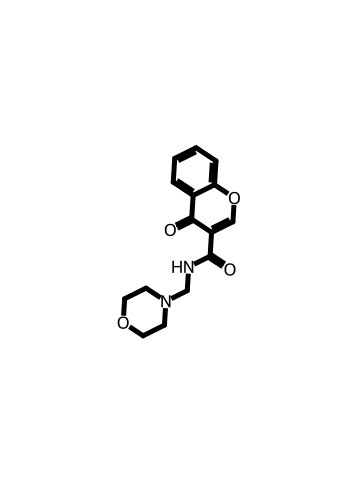 O=C(NCN1CCOCC1)c1coc2ccccc2c1=O